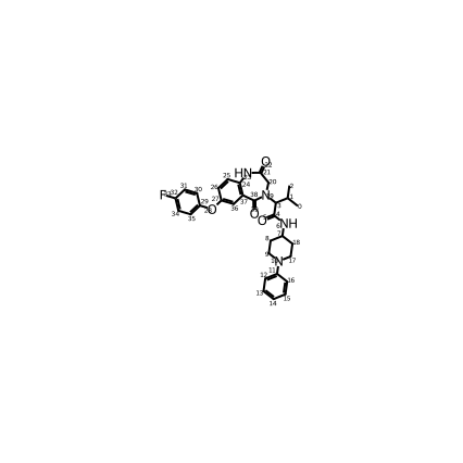 CC(C)C(C(=O)NC1CCN(c2ccccc2)CC1)N1CC(=O)Nc2ccc(Oc3ccc(F)cc3)cc2C1=O